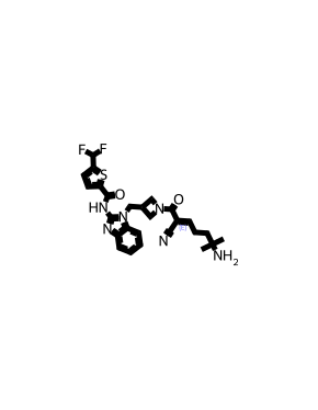 CC(C)(N)CC/C=C(\C#N)C(=O)N1CC(Cn2c(NC(=O)c3ccc(C(F)F)s3)nc3ccccc32)C1